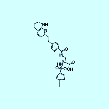 O=C(NC[C@H](NS(=O)(=O)c1ccc(I)cc1)C(=O)O)c1ccc(CCc2ccc3c(n2)NCCC3)cc1